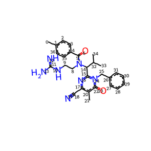 Cc1ccc(C(=O)N(CCNC(=N)N)C(c2nc(C#N)c(C)c(=O)n2Cc2ccccc2)C(C)C)cc1